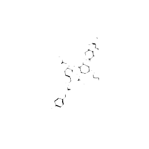 CN(C(=O)OC(C)(C)C)[C@@H]1[C@@H](O)[C@@H](O[C@@H]2[C@@H](O)[C@H](O[C@H]3OC(CNC(=O)OCc4ccc([N+](=O)[O-])cc4)=CC[C@H]3NC(=O)OC(C)(C)C)[C@@H](NC(=O)OC(C)(C)C)C[C@H]2NC(=O)CO)OC[C@]1(C)O